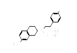 O=C(O)N(C[C@@H](O)c1ccc(Cl)cc1)[C@H]1CCc2ccc(O)cc2C1